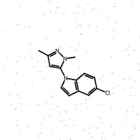 Cc1[c]c(-n2ccc3cc(Cl)ccc32)n(C)n1